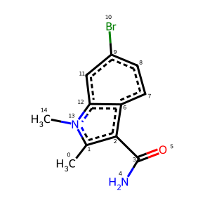 Cc1c(C(N)=O)c2ccc(Br)cc2n1C